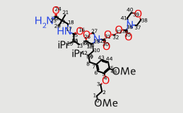 COCCCOc1cc(C[C@@H](C[C@H]2[C@H](C[C@H](C(=O)NCC(C)(C)C(N)=O)C(C)C)OCN2C(=O)OCOC(=O)N2CCOCC2)C(C)C)ccc1OC